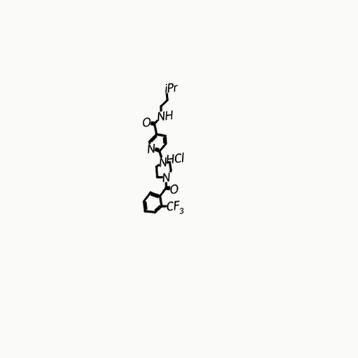 CC(C)CCNC(=O)c1ccc(N2CCN(C(=O)c3ccccc3C(F)(F)F)CC2)nc1.Cl